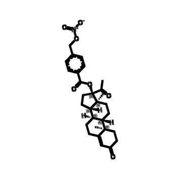 CC(=O)[C@@]1(OC(=O)c2ccc(CO[N+](=O)[O-])cc2)CC[C@H]2[C@@H]3CCC4=CC(=O)CC[C@]4(C)[C@H]3CC[C@@]21C